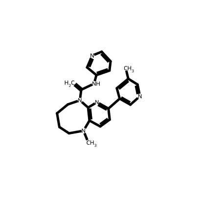 C=C(Nc1cccnc1)N1CCCCN(C)c2ccc(-c3cncc(C)c3)nc21